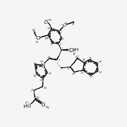 COc1cc([C@@H](O)[C@H](CC2Cc3ccccc3C2)Cn2ccc(CCC(=O)O)c2)cc(OC)c1Cl